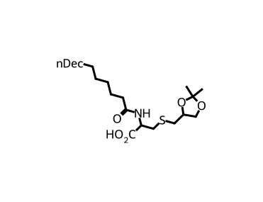 CCCCCCCCCCCCCCCC(=O)NC(CSCC1COC(C)(C)O1)C(=O)O